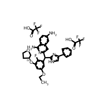 CCOc1cc(O[C@H]2CCOC2)c(F)c(C(c2cc3cc(N)ccc3c(N)n2)c2nc(-c3ccccc3)c[nH]2)c1.O=C(O)C(F)(F)F.O=C(O)C(F)(F)F